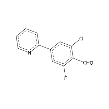 O=Cc1c(F)cc(-c2ccccn2)cc1Cl